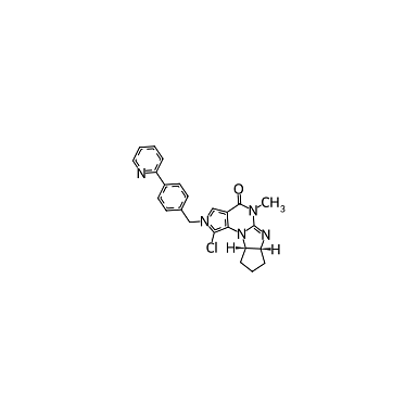 CN1C(=O)c2cn(Cc3ccc(-c4ccccn4)cc3)c(Cl)c2N2C1=N[C@@H]1CCC[C@@H]12